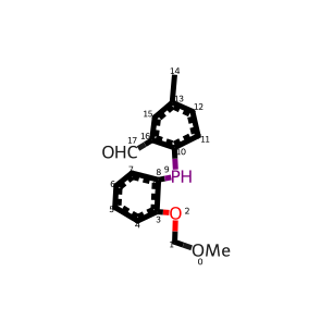 COCOc1ccccc1Pc1ccc(C)cc1C=O